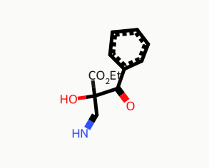 CCOC(=O)C(O)(C=N)C(=O)c1ccccc1